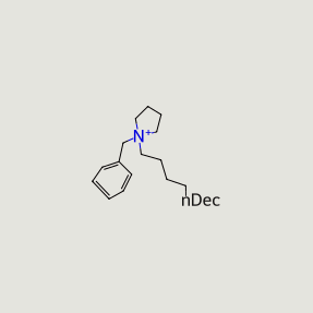 CCCCCCCCCCCCCC[N+]1(Cc2ccccc2)CCCC1